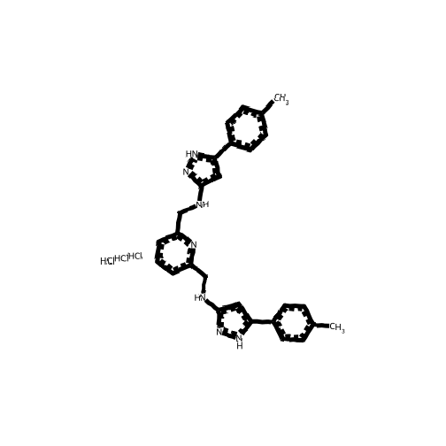 Cc1ccc(-c2cc(NCc3cccc(CNc4cc(-c5ccc(C)cc5)[nH]n4)n3)n[nH]2)cc1.Cl.Cl.Cl